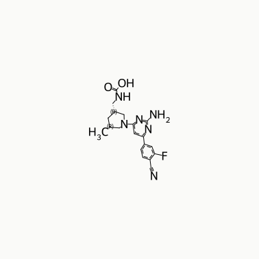 C[C@@H]1C[C@H](CNC(=O)O)CN(c2cc(-c3ccc(C#N)c(F)c3)nc(N)n2)C1